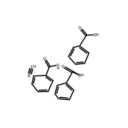 C#N.O=C(O)c1ccccc1.O=C(O)c1ccccc1.O=C(O)c1ccccc1